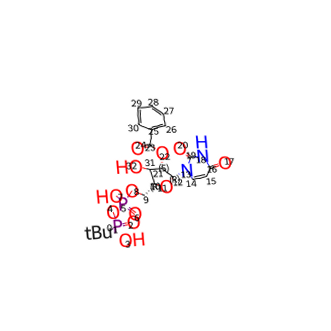 CC(C)(C)P(=O)(O)OP(=O)(O)OC[C@H]1O[C@@H](n2ccc(=O)[nH]c2=O)[C@@H](OC(=O)c2ccccc2)C1O